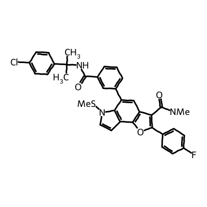 CNC(=O)c1c(-c2ccc(F)cc2)oc2c1cc(-c1cccc(C(=O)NC(C)(C)c3ccc(Cl)cc3)c1)c1c2ccn1SC